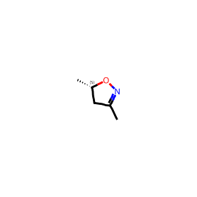 CC1=NO[C@@H](C)C1